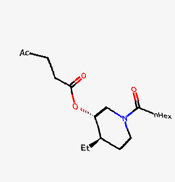 CCCCCCC(=O)N1CC[C@@H](CC)[C@H](OC(=O)CCC(C)=O)C1